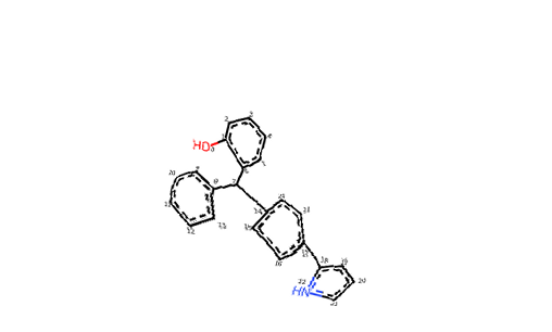 Oc1ccccc1C(c1ccccc1)c1ccc(-c2ccc[nH]2)cc1